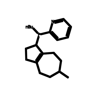 CCCCP(c1ccccn1)C1CCC2=C1CCC(C)CC2